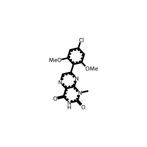 COc1cc(Cl)cc(OC)c1-c1cnc2c(=O)[nH]c(=O)n(C)c2n1